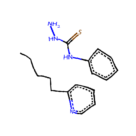 CCCCCc1ccccn1.NNC(=S)Nc1ccccc1